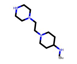 CC(C)(C)NC1CCN(CCN2CCNCC2)CC1